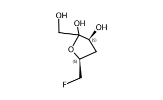 OCC1(O)O[C@H](CF)C[C@@H]1O